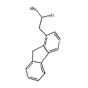 CCCCC(CC)Cc1cccc2c1Cc1ccccc1-2